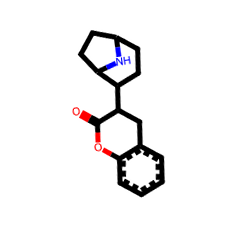 O=C1Oc2ccccc2CC1C1CCC2CCC1N2